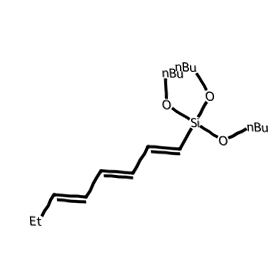 CC/C=C/C=C/C=C/[Si](OCCCC)(OCCCC)OCCCC